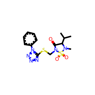 CC(C)C1C(=O)N(CSc2nnnn2-c2ccccc2)S(=O)(=O)N1C